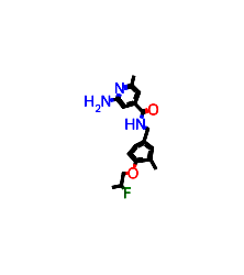 Cc1cc(C(=O)NCc2ccc(OCC(C)F)c(C)c2)cc(N)n1